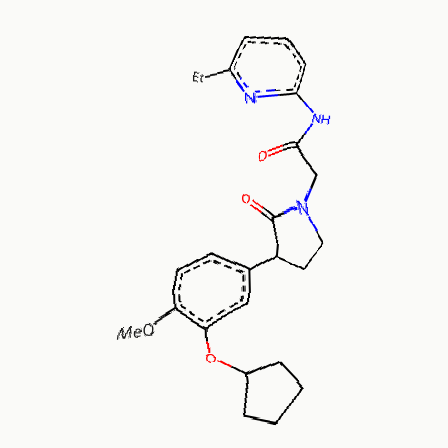 CCc1cccc(NC(=O)CN2CCC(c3ccc(OC)c(OC4CCCC4)c3)C2=O)n1